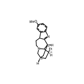 CC[C@H]1C[C@H]2C[C@H]3C4=Nc5ccc(OC)cc5C4CCN(C2)C13